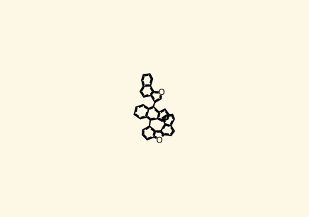 c1ccc2c(c1)ccc1c(-c3c4ccccc4c(-c4cccc5oc6ccc7ccccc7c6c45)c4ccccc34)coc12